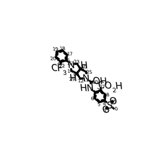 CS(=O)(=O)c1ccc(NC(O)N2C[C@H]3CN(c4ccccc4C(F)(F)F)C[C@H]3C2)c(C(=O)O)c1